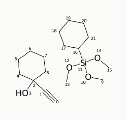 C#CC1(O)CCCCC1.CO[Si](OC)(OC)C1CCCCC1